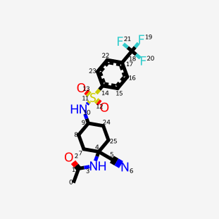 CC(=O)NC1(C#N)CCC(NS(=O)(=O)c2ccc(C(F)(F)F)cc2)CC1